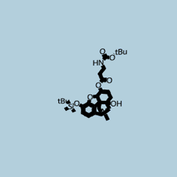 CN1CCC23c4c5ccc(O[Si](C)(C)C(C)(C)C)c4OC2C(OC(=O)CCNC(=O)OC(C)(C)C)=CCC3(O)C1C5